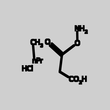 CCCC.Cl.NOC(=O)CC(=O)O